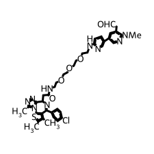 CNc1ncc(-c2ccc(NCCOCCOCCOCCNC(=O)CC3N=C(c4ccc(Cl)cc4)c4c(sc(C)c4C)-n4c(C)nnc43)nc2)cc1CC=O